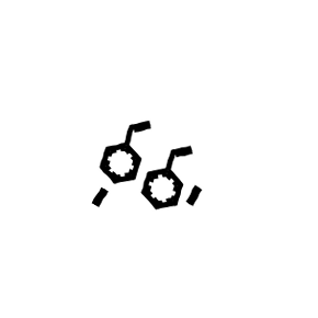 C=C.C=C.C=Cc1ccccc1.C=Cc1ccccc1